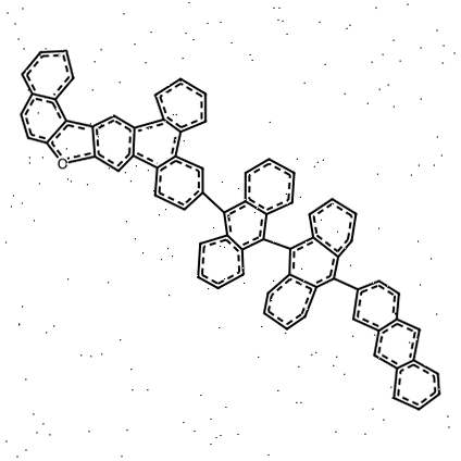 c1ccc2cc3cc(-c4c5ccccc5c(-c5c6ccccc6c(-c6ccc7c(c6)c6ccccc6c6cc8c(cc76)oc6ccc7ccccc7c68)c6ccccc56)c5ccccc45)ccc3cc2c1